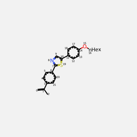 C=C(C)c1ccc(-c2ncc(-c3ccc(OCCCCCC)cc3)s2)cc1